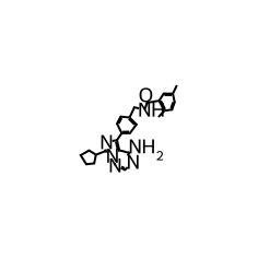 Cc1ccc(C)c(C(=O)NCc2ccc(-c3nc(C4CCCC4)n4ncnc(N)c34)cc2)c1